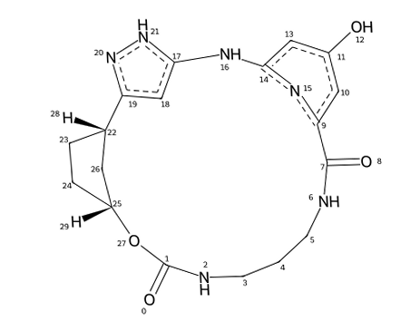 O=C1NCCCNC(=O)c2cc(O)cc(n2)Nc2cc(n[nH]2)[C@H]2CC[C@H](C2)O1